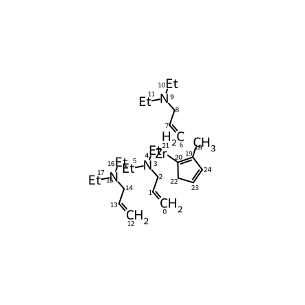 C=CCN(CC)CC.C=CCN(CC)CC.C=CCN(CC)CC.CC1=[C]([Zr])CC=C1